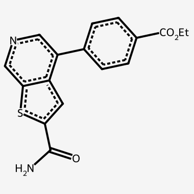 CCOC(=O)c1ccc(-c2cncc3sc(C(N)=O)cc23)cc1